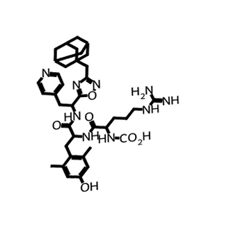 Cc1cc(O)cc(C)c1CC(NC(=O)C(CCCNC(=N)N)NC(=O)O)C(=O)NC(Cc1ccncc1)c1nc(CC23CC4CC(CC(C4)C2)C3)no1